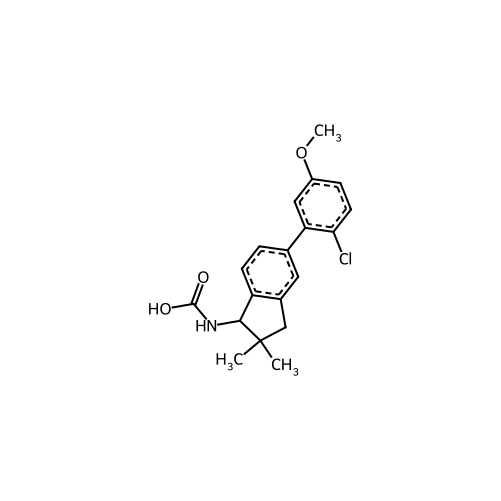 COc1ccc(Cl)c(-c2ccc3c(c2)CC(C)(C)C3NC(=O)O)c1